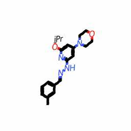 Cc1cccc(/C=N/Nc2cc(N3CCOCC3)cc(OC(C)C)n2)c1